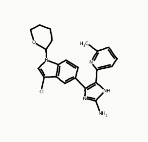 Cc1cccc(-c2[nH]c(N)nc2-c2ccc3c(c2)c(Cl)cn3C2CCCCO2)n1